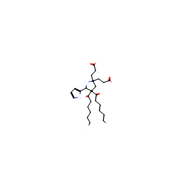 CCCCCCC(=O)C1(C(=O)CCCCCC)CC(CCC(=O)O)(CCC(=O)O)NC1c1ccc[nH]1